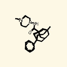 CN1CCN(NC(=O)C23CC4CC(C)(C2)CC(c2ccccc2)(C4)C3)CC1